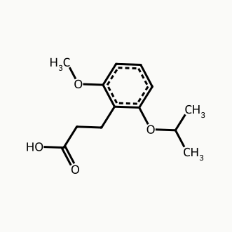 COc1cccc(OC(C)C)c1CCC(=O)O